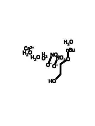 CCCCOCCO.O.O.O.O.O=[N+]([O-])[O-].O=[N+]([O-])[O-].[Ca+2]